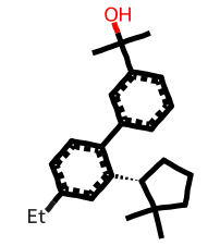 CCc1ccc(-c2cccc(C(C)(C)O)c2)c([C@@H]2CCCC2(C)C)c1